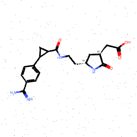 N=C(N)c1ccc(C2CC2C(=O)NCC[C@@H]2C[C@@H](CC(=O)O)C(=O)N2)cc1